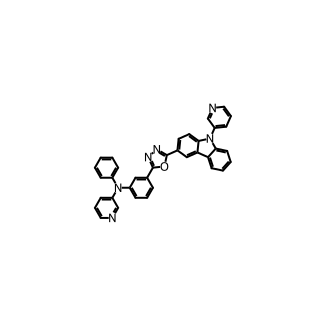 c1ccc(N(c2cccnc2)c2cccc(-c3nnc(-c4ccc5c(c4)c4ccccc4n5-c4cccnc4)o3)c2)cc1